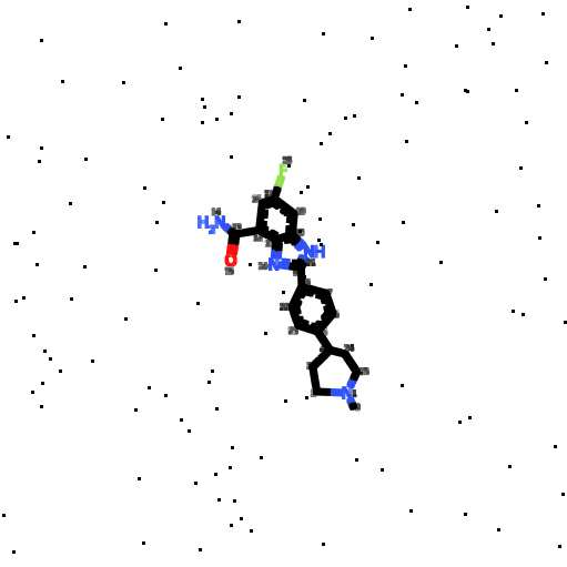 CN1CCC(c2ccc(-c3nc4c(C(N)=O)cc(F)cc4[nH]3)cc2)CC1